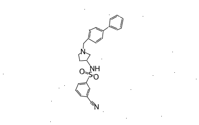 N#Cc1cccc(S(=O)(=O)NC2CCN(Cc3ccc(-c4ccccc4)cc3)C2)c1